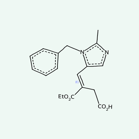 CCOC(=O)/C(=C/c1cnc(C)n1Cc1ccccc1)CC(=O)O